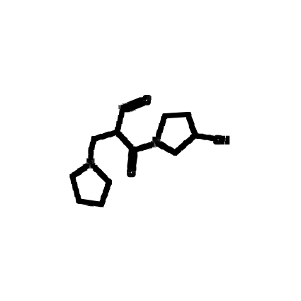 O=[C]C(CN1CCCC1)C(=O)N1CCC(O)C1